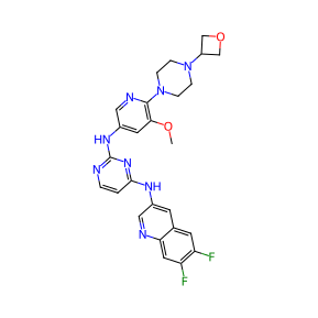 COc1cc(Nc2nccc(Nc3cnc4cc(F)c(F)cc4c3)n2)cnc1N1CCN(C2COC2)CC1